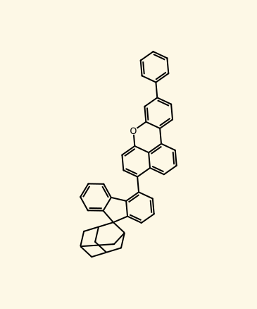 c1ccc(-c2ccc3c(c2)Oc2ccc(-c4cccc5c4-c4ccccc4C54C5CC6CC(C5)CC4C6)c4cccc-3c24)cc1